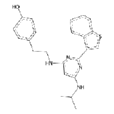 CC(C)Nc1cc(NCCc2ccc(O)cc2)nc(-c2csc3ccccc23)n1